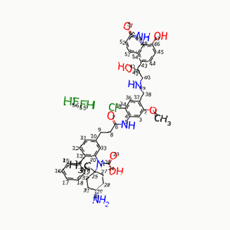 COc1cc(NC(=O)CCc2ccc(-c3ccccc3)c(N(C(=O)O)C3(C)CCC(N)CC3)c2)c(Cl)cc1CNC[C@H](O)c1ccc(O)c2[nH]c(=O)ccc12.F.F